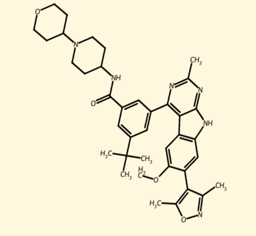 COc1cc2c(cc1-c1c(C)noc1C)[nH]c1nc(C)nc(-c3cc(C(=O)NC4CCN(C5CCOCC5)CC4)cc(C(C)(C)C)c3)c12